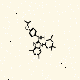 Cc1cc(C)c2nc(Nc3ccc(OC(C)C)cc3)n(C3CC(C)CC(C)(C)C3)c2c1